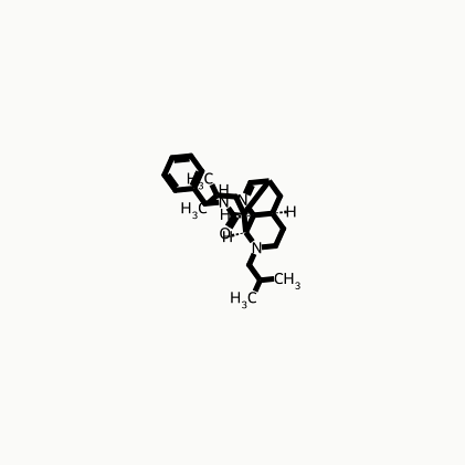 CC(C)C[C@@H]1C2C=N[C@@]3(C(=O)NCc4ccccc4)[C@H](CCN(CC(C)C)[C@@H]13)C2